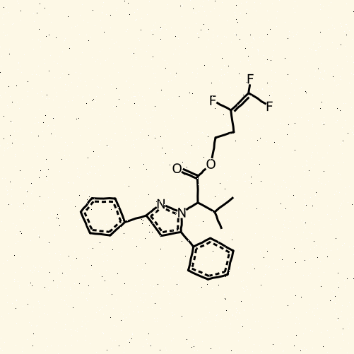 CC(C)C(C(=O)OCCC(F)=C(F)F)n1nc(-c2ccccc2)cc1-c1ccccc1